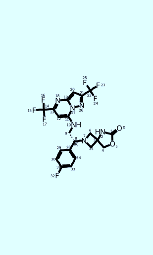 O=C1NC2(CO1)CN([C@@H](CNc1cc(C(F)(F)F)nc3cc(C(F)(F)F)nn13)c1ccc(F)cc1)C2